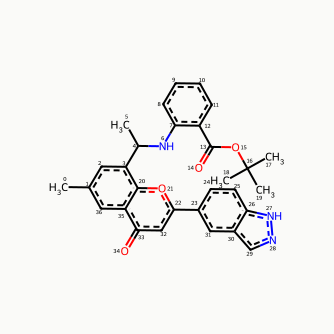 Cc1cc(C(C)Nc2ccccc2C(=O)OC(C)(C)C)c2oc(-c3ccc4[nH]ncc4c3)cc(=O)c2c1